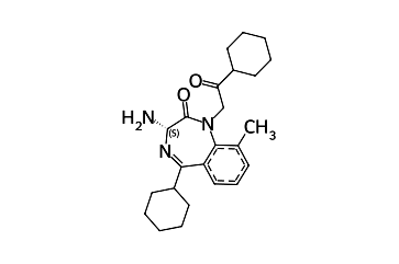 Cc1cccc2c1N(CC(=O)C1CCCCC1)C(=O)[C@@H](N)N=C2C1CCCCC1